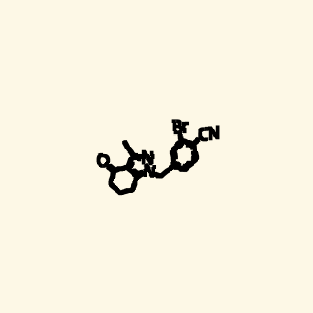 Cc1nn(Cc2ccc(C#N)c(Br)c2)c2c1C(=O)CCC2